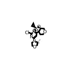 C[C@@H]1COCCN1c1cc(C2(S(=O)(=O)C3CC3)CCOCC2)nc(Cl)n1